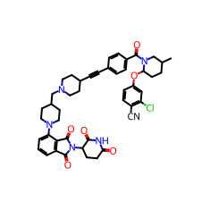 CC1CCC(Oc2ccc(C#N)c(Cl)c2)N(C(=O)c2ccc(C#CC3CCN(CC4CCN(c5cccc6c5C(=O)N(C5CCC(=O)NC5=O)C6=O)CC4)CC3)cc2)C1